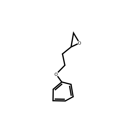 c1ccc(OCCC2CO2)cc1